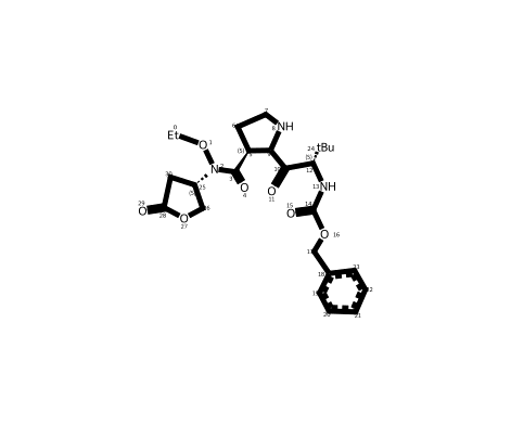 CCON(C(=O)[C@H]1CCNC1C(=O)[C@@H](NC(=O)OCc1ccccc1)C(C)(C)C)[C@@H]1COC(=O)C1